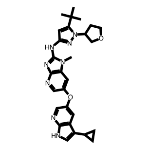 Cn1c(Nc2cc(C(C)(C)C)n(C3CCOC3)n2)nc2ncc(Oc3cnc4[nH]cc(C5CC5)c4c3)cc21